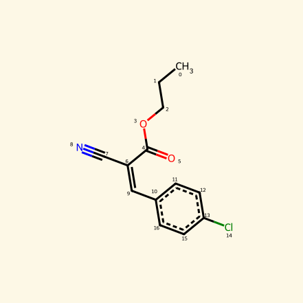 CCCOC(=O)C(C#N)=Cc1ccc(Cl)cc1